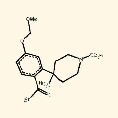 CCC(=O)c1ccc(OCOC)cc1C1(C(=O)O)CCN(C(=O)O)CC1